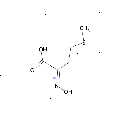 CSCC/C(=N\O)C(=O)O